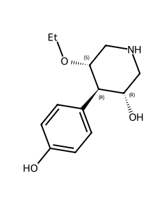 CCO[C@@H]1CNC[C@H](O)[C@H]1c1ccc(O)cc1